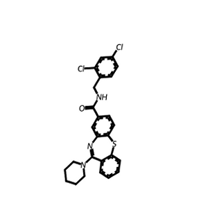 O=C(NCc1ccc(Cl)cc1Cl)c1ccc2c(c1)N=C(N1CCCCC1)c1ccccc1S2